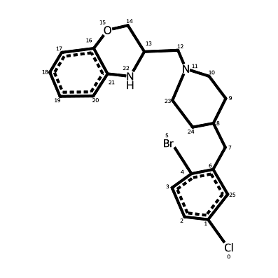 Clc1ccc(Br)c(CC2CCN(CC3COc4ccccc4N3)CC2)c1